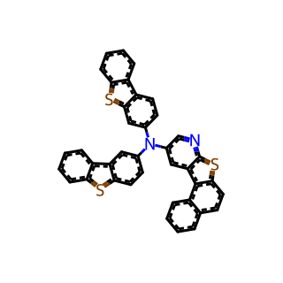 c1ccc2c(c1)ccc1sc3ncc(N(c4ccc5c(c4)sc4ccccc45)c4ccc5sc6ccccc6c5c4)cc3c12